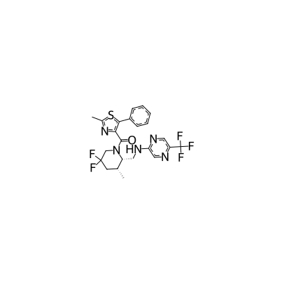 Cc1nc(C(=O)N2CC(F)(F)C[C@@H](C)[C@H]2CNc2cnc(C(F)(F)F)cn2)c(-c2ccccc2)s1